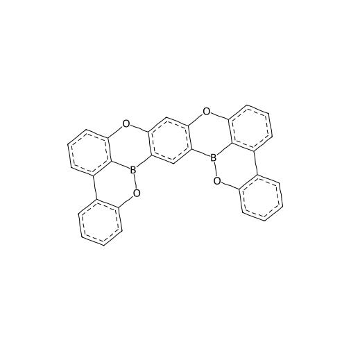 c1ccc2c(c1)OB1c3cc4c(cc3Oc3cccc-2c31)Oc1cccc2c1B4Oc1ccccc1-2